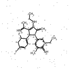 C=C1C(NCC)=C(C(C)=N)C(C2=CC=C(F)CC2F)N1c1cc(C)c(=N)n(CC)c1